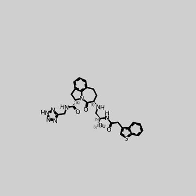 CC[C@H](C)[C@@H](CN[C@H]1CCc2cccc3c2N(C1=O)[C@H](C(=O)NCc1nn[nH]n1)C3)NC(=O)Cc1csc2ccccc12